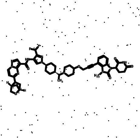 CC([C@H]1CC[C@H](n2cc(NC(=O)c3cnn4ccc(C5C[C@H]6C[C@@H]5CO6)nc34)c(C(F)F)n2)CC1)N1CCC(OCC#Cc2cccc3c2n(C)c(=O)n3C2CCC(=O)NC2=O)CC1